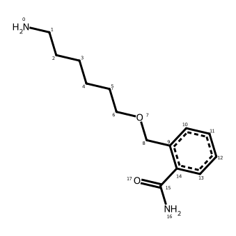 NCCCC[CH]COCc1ccccc1C(N)=O